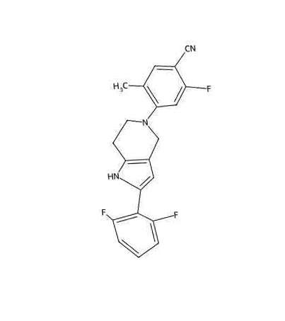 Cc1cc(C#N)c(F)cc1N1CCc2[nH]c(-c3c(F)cccc3F)cc2C1